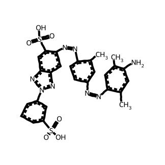 Cc1cc(/N=N\c2ccc(/N=N\c3cc4nn(-c5cccc(S(=O)(=O)O)c5)nc4cc3S(=O)(=O)O)c(C)c2)c(C)cc1N